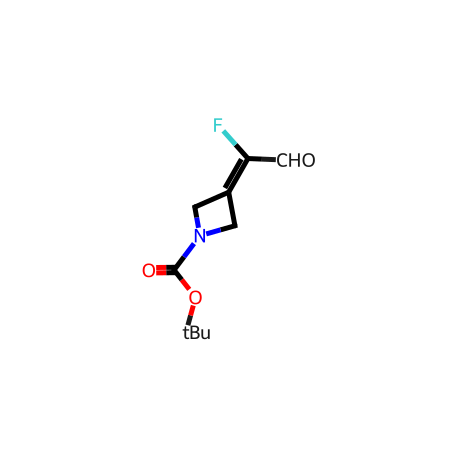 CC(C)(C)OC(=O)N1CC(=C(F)C=O)C1